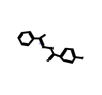 C/C(=N\NC(=O)c1ccc(F)cc1)c1ccccc1